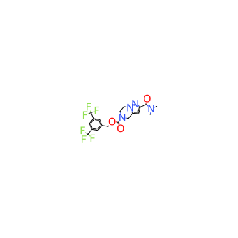 CN(C)C(=O)c1cc2n(n1)CCN(C(=O)OCc1cc(C(F)(F)F)cc(C(F)(F)F)c1)C2